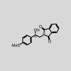 CSc1ccc([C@@H](O)CN2C(=O)c3ccccc3C2=O)cc1